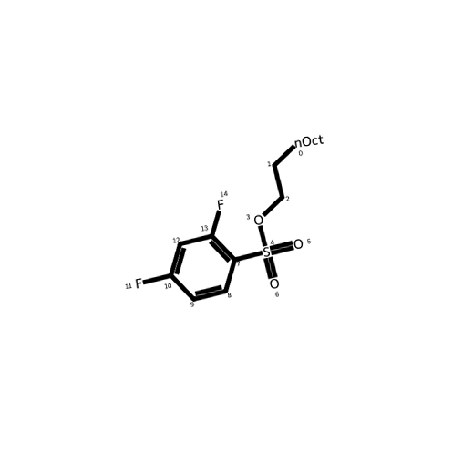 CCCCCCCCCCOS(=O)(=O)c1ccc(F)cc1F